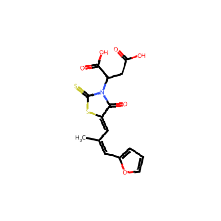 CC(=Cc1ccco1)C=C1SC(=S)N(C(CC(=O)O)C(=O)O)C1=O